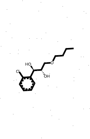 CCCCOC[C@H](O)[C@H](O)c1ccccc1Cl